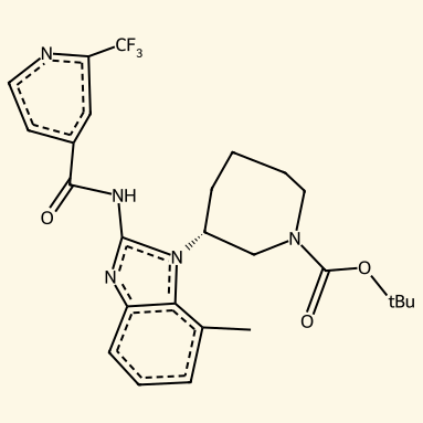 Cc1cccc2nc(NC(=O)c3ccnc(C(F)(F)F)c3)n([C@@H]3CCCCN(C(=O)OC(C)(C)C)C3)c12